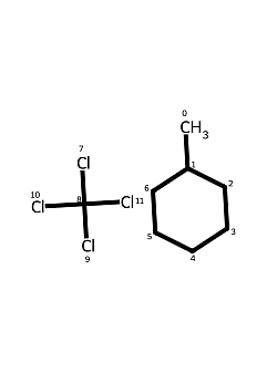 CC1CCCCC1.ClC(Cl)(Cl)Cl